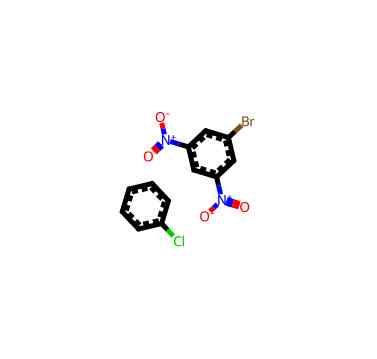 Clc1ccccc1.O=[N+]([O-])c1cc(Br)cc([N+](=O)[O-])c1